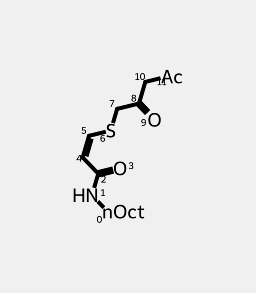 CCCCCCCCNC(=O)/C=C\SCC(=O)CC(C)=O